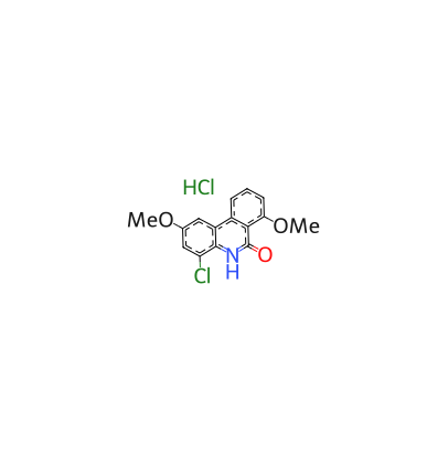 COc1cc(Cl)c2[nH]c(=O)c3c(OC)cccc3c2c1.Cl